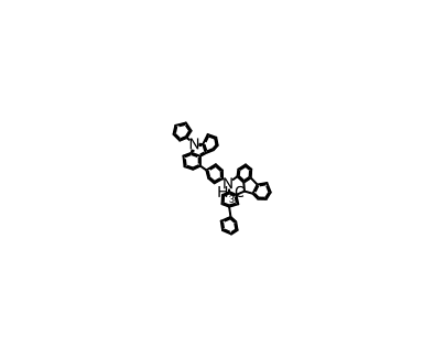 CC12c3ccccc3-c3cccc(c31)N(c1ccc(-c3cccc4c3c3ccccc3n4-c3ccccc3)cc1)c1ccc(-c3ccccc3)cc12